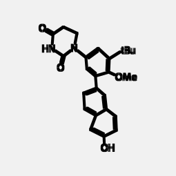 COc1c(-c2ccc3cc(O)ccc3c2)cc(N2CCC(=O)NC2=O)cc1C(C)(C)C